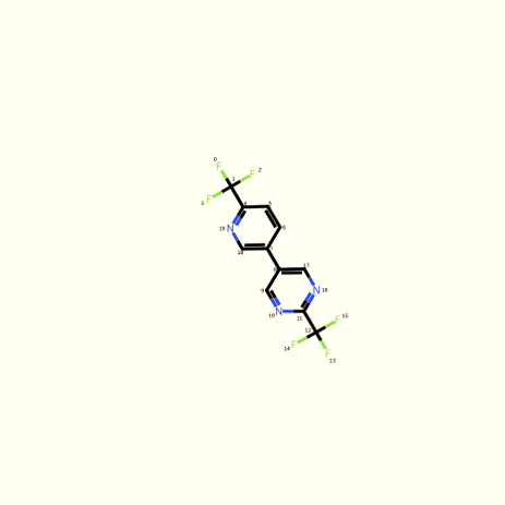 FC(F)(F)c1[c]cc(-c2cnc(C(F)(F)F)nc2)cn1